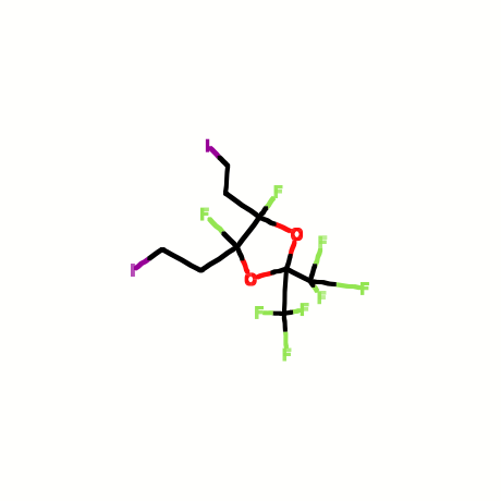 FC(F)(F)C1(C(F)(F)F)OC(F)(CCI)C(F)(CCI)O1